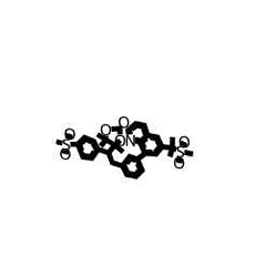 CC1(C)OC(=O)OC1(C)C(Cc1cccc(-c2cc(C(C)(C)S(C)(=O)=O)cc3cccnc23)c1)c1ccc(S(C)(=O)=O)cc1